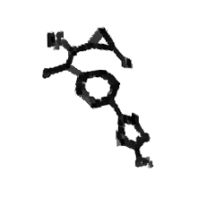 CCC1CC1N(C)C(=O)c1ccc(-c2noc(C(F)(F)F)n2)cc1